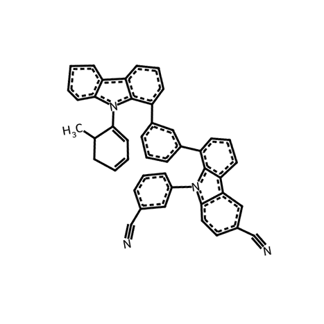 CC1CC=CC=C1n1c2ccccc2c2cccc(-c3cccc(-c4cccc5c6cc(C#N)ccc6n(-c6cccc(C#N)c6)c45)c3)c21